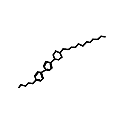 CCCCCCCCCCCCC1CCC(c2ccc(-c3ccc(CCCCC)cc3)cc2)CC1